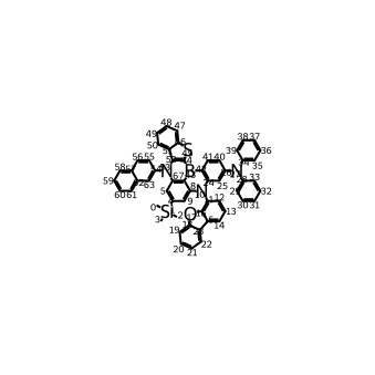 C[Si](C)(C)c1cc2c3c(c1)N(c1cccc4c1oc1ccccc14)c1cc(N(c4ccccc4)c4ccccc4)ccc1B3c1sc3ccccc3c1N2c1ccc2ccccc2c1